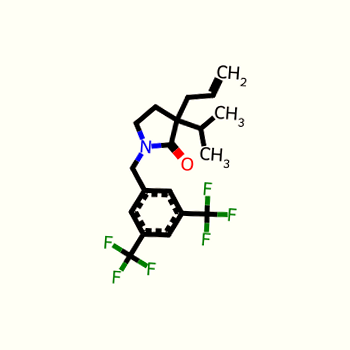 C=CCC1(C(C)C)CCN(Cc2cc(C(F)(F)F)cc(C(F)(F)F)c2)C1=O